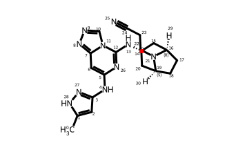 Cc1cc(Nc2cc3nncn3c(N[C@@H]3C[C@H]4CC[C@@H](C3)N4CCC#N)n2)n[nH]1